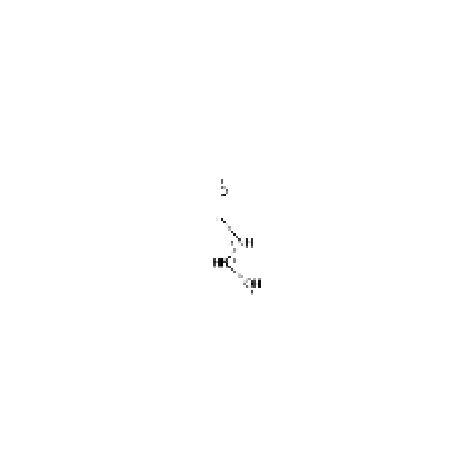 O=[C]NNO